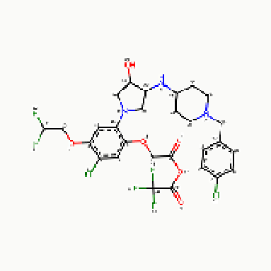 O=C(COc1cc(Cl)c(OCC(F)F)cc1N1CC(O)C(NC2CCN(Cc3ccc(Cl)cc3)CC2)C1)OC(=O)C(F)(F)F